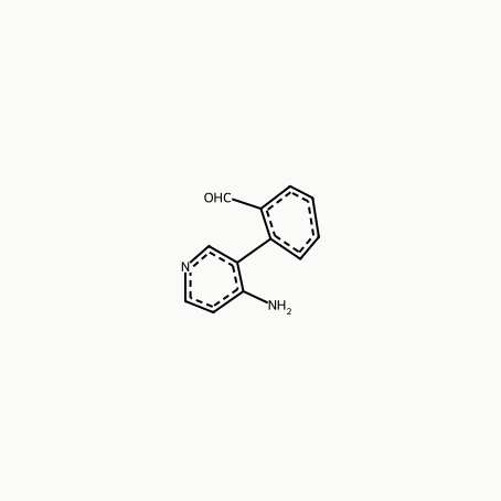 Nc1ccncc1-c1ccccc1C=O